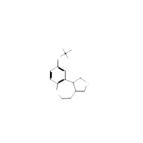 FC(F)(F)Oc1ccc2c(c1)C1CNCC1CCO2